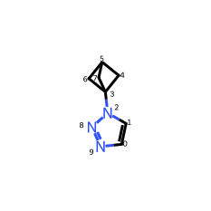 c1cn(C23CC(C2)C3)nn1